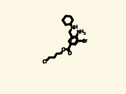 Nc1c(Br)cc(C(=O)OCCCCCl)cc1CNC1CCCCC1